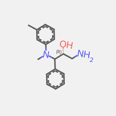 Cc1cccc(N(C)C(c2ccccc2)[C@H](O)CN)c1